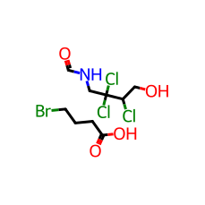 O=C(O)CCCBr.O=CNCC(Cl)(Cl)C(Cl)CO